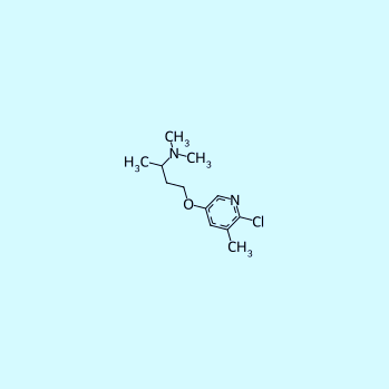 Cc1cc(OCCC(C)N(C)C)cnc1Cl